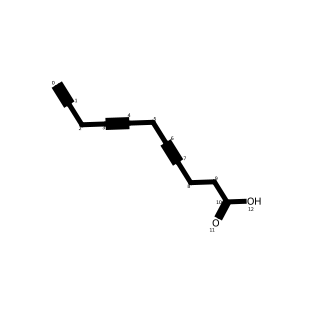 C#CCC#CCC#CCCC(=O)O